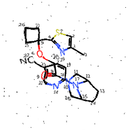 Cc1csc(C2(OCC(=O)N3CC4CCC(C3)N4c3ccc(C#N)cn3)CCC2)n1